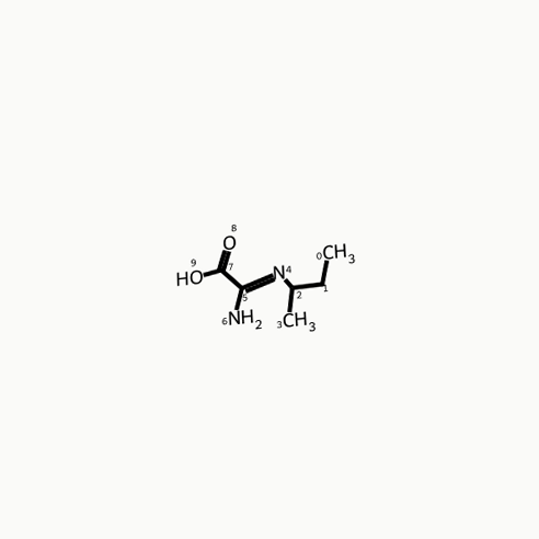 CCC(C)N=C(N)C(=O)O